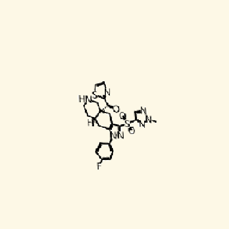 Cn1ncc(S(=O)(=O)c2nn(-c3ccc(F)cc3)c3c2C[C@]2(C(=O)c4nccs4)CNCC[C@H]2C3)n1